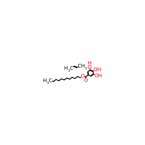 CC=CC.CCCCCCCCCCCCOC(=O)c1cc(O)c(O)c(O)c1